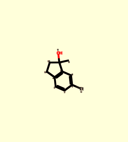 CCc1ccc2c(c1)C(C)(O)CC2